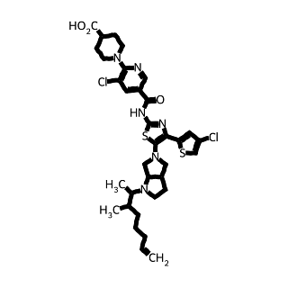 C=CCCCC(C)C(C)N1CCC2CN(c3sc(NC(=O)c4cnc(N5CCC(C(=O)O)CC5)c(Cl)c4)nc3-c3cc(Cl)cs3)CC21